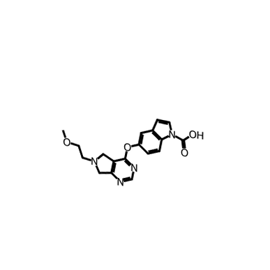 COCCN1Cc2ncnc(Oc3ccc4c(ccn4C(=O)O)c3)c2C1